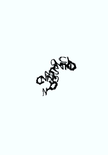 N#Cc1ccccc1Cn1c(N2CCCCC2)nc2cc(C(=O)NCc3ccccc3Cl)sc2c1=O